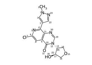 Cn1cc(-c2nc(Cl)cc3c(=O)n([C@@H]4COC[C@H]4O)cnc23)cn1